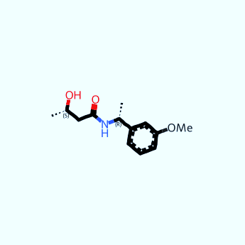 COc1cccc([C@@H](C)NC(=O)C[C@H](C)O)c1